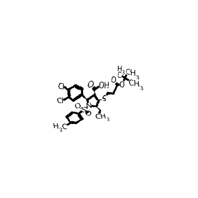 CC[C@@H]1[C@@H](SCCC(=O)OC(C)(C)C)[C@@H](C(=O)O)[C@H](c2ccc(Cl)c(Cl)c2)N1S(=O)(=O)c1ccc(C)cc1